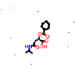 CC(C)NC(=O)CC(OC(=O)c1ccccc1)C(=O)O